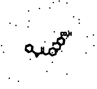 O=C(O)c1ccc(CN2CCC(CNC3CC3c3ccccc3)CC2)c(F)c1